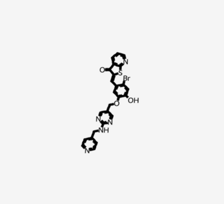 O=C1/C(=C/c2cc(OCc3cnc(NCc4ccncc4)nc3)c(O)cc2Br)Sc2ncccc21